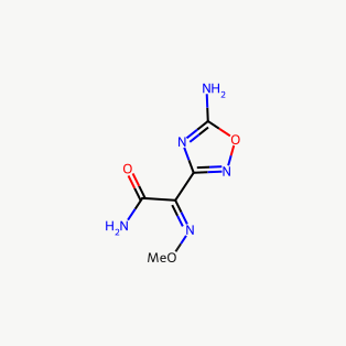 CON=C(C(N)=O)c1noc(N)n1